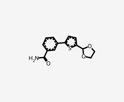 NC(=O)c1cccc(-c2ccc(C3OCCO3)s2)c1